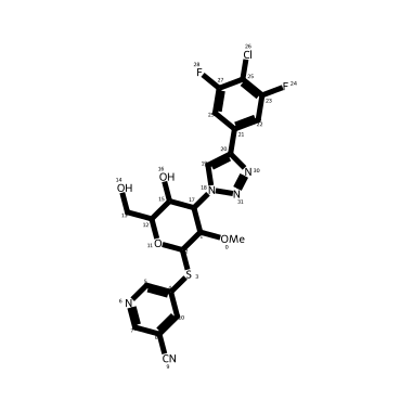 COC1C(Sc2cncc(C#N)c2)OC(CO)C(O)C1n1cc(-c2cc(F)c(Cl)c(F)c2)nn1